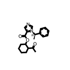 CC(=O)C1CCCCC1OC(=O)c1cncn1[C@H](C)c1ccccc1